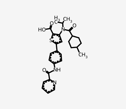 CC1CCC(C(=O)N(c2cc(-c3ccc(NC(=O)c4ccccn4)cc3)sc2C(=O)O)C(C)C)CC1